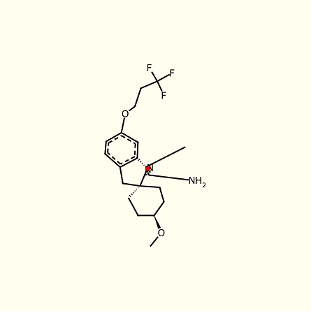 CO[C@H]1CC[C@]2(CC1)Cc1ccc(OCCC(F)(F)F)cc1[C@]21N=C(C)C(N)=N1